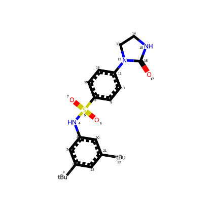 CC(C)(C)c1cc(NS(=O)(=O)c2ccc(N3CCNC3=O)cc2)cc(C(C)(C)C)c1